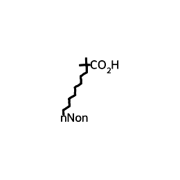 CCCCCCCCCCCCCCCCCC(C)(C)C(=O)O